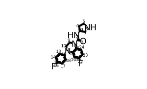 O=C(N[C@H]1CCNC1)N1CCN(c2ccc(F)cc2)c2cc(F)ccc21